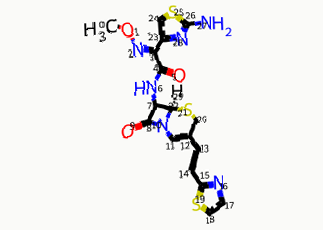 CON=C(C(=O)NC1C(=O)N2C=C(C=Cc3nccs3)CS[C@H]12)c1csc(N)n1